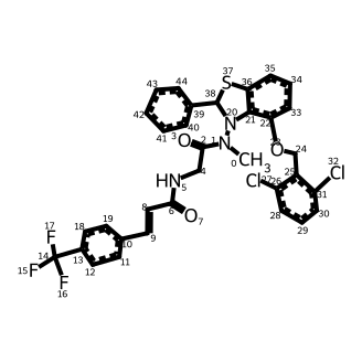 CN(C(=O)CNC(=O)C=Cc1ccc(C(F)(F)F)cc1)N1c2c(OCc3c(Cl)cccc3Cl)cccc2SC1c1ccccc1